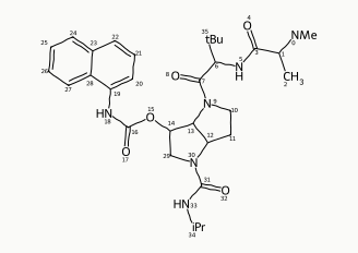 CNC(C)C(=O)NC(C(=O)N1CCC2C1C(OC(=O)Nc1cccc3ccccc13)CN2C(=O)NC(C)C)C(C)(C)C